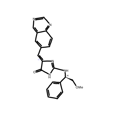 COC[C@H](NC1=N/C(=C\c2ccc3ncncc3c2)C(=O)N1)c1ccccc1